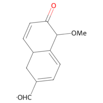 COC1C(=O)C=CC2CC([C]=O)=CC=C21